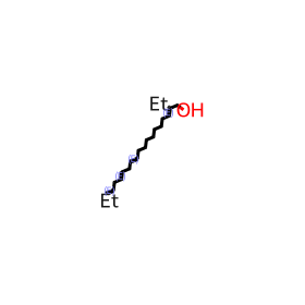 CC/C=C/C/C=C/C/C=C/CCCCCCC/C=C(\CC)CO